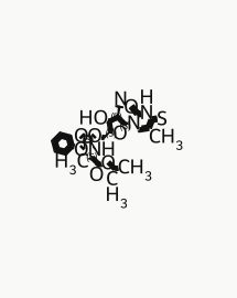 Cc1cn([C@H]2O[C@@H](CO[P@@](=O)(N[C@@H](C)C(=O)OC(C)C)Oc3ccccc3)C(O)[C@H]2C#N)c(=O)[nH]c1=S